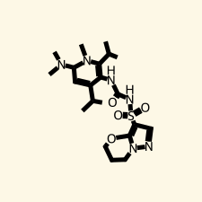 CC(C)C1=CC(N(C)C)N(C)C(C(C)C)=C1NC(=O)NS(=O)(=O)c1cnn2c1OCCC2